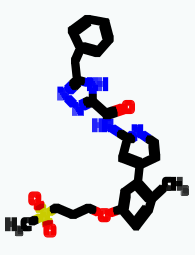 Cc1ccc(OCCCS(C)(=O)=O)cc1-c1ccnc(NC(=O)c2nnc(Cc3ccccc3)[nH]2)c1